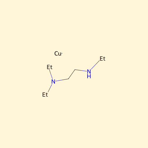 CCNCCN(CC)CC.[Cu]